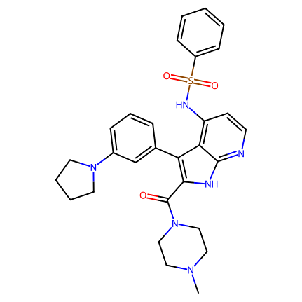 CN1CCN(C(=O)c2[nH]c3nccc(NS(=O)(=O)c4ccccc4)c3c2-c2cccc(N3CCCC3)c2)CC1